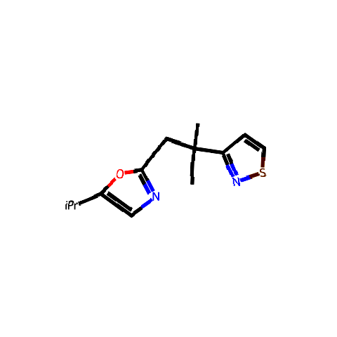 CC(C)c1cnc(CC(C)(C)c2ccsn2)o1